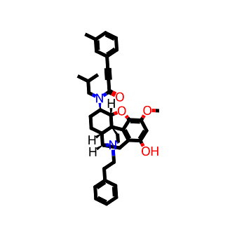 COc1cc(O)c2c3c1O[C@H]1[C@H](N(CC(C)C)C(=O)C#Cc4cccc(C)c4)CC[C@H]4[C@@H](C2)N(CCc2ccccc2)CC[C@@]341